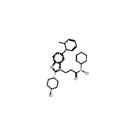 CCN(C(=O)CCn1c2cc(C3C=CC=CC3C)ccc2nc1[C@H]1CC[C@H](CC)CC1)C1CCCCC1